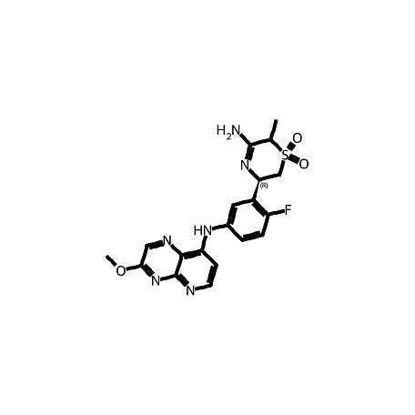 COc1cnc2c(Nc3ccc(F)c([C@@H]4CS(=O)(=O)C(C)C(N)=N4)c3)ccnc2n1